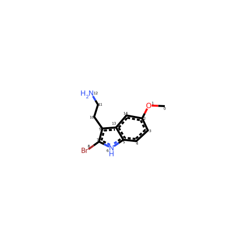 COc1ccc2[nH]c(Br)c(CCN)c2c1